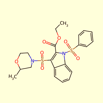 CCOC(=O)c1c(S(=O)(=O)N2CCOC(C)C2)c2ccccc2n1S(=O)(=O)c1ccccc1